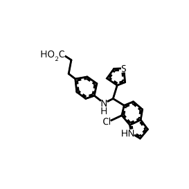 O=C(O)CCc1ccc(NC(c2ccsc2)c2ccc3cc[nH]c3c2Cl)cc1